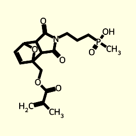 C=C(C)C(=O)OCC12C=CC(O1)C1C(=O)N(CCCP(C)(=O)O)C(=O)C12